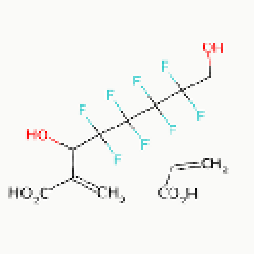 C=C(C(=O)O)C(O)C(F)(F)C(F)(F)C(F)(F)C(F)(F)CO.C=CC(=O)O